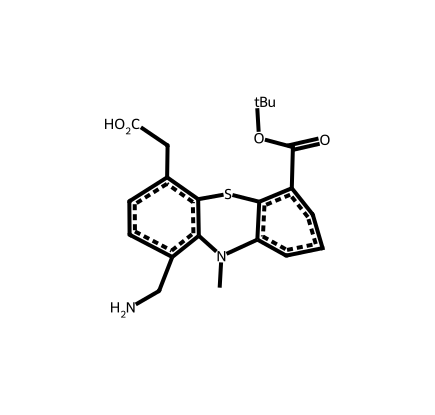 CN1c2cccc(C(=O)OC(C)(C)C)c2Sc2c(CC(=O)O)ccc(CN)c21